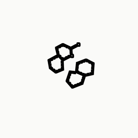 O=c1ccc2ccccc2o1.c1ccc2ccccc2c1